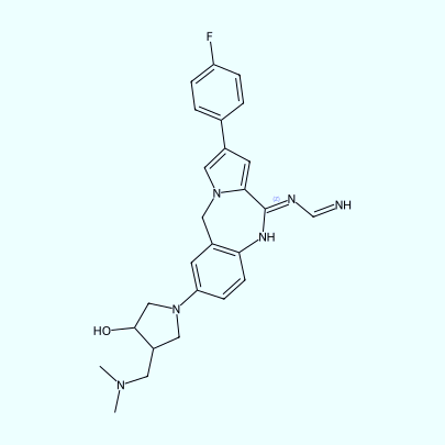 CN(C)CC1CN(c2ccc3c(c2)Cn2cc(-c4ccc(F)cc4)cc2/C(=N/C=N)N3)CC1O